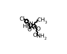 CCCCC1CN(C(=O)CCC(N)=O)Cc2c1nc(-c1ccc(Cl)cc1)[nH]c2=O